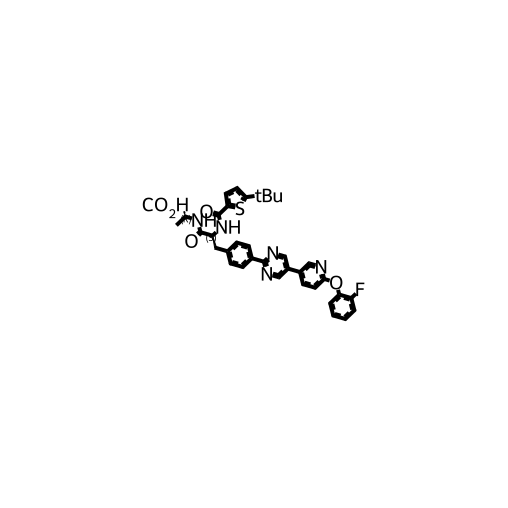 C[C@@H](NC(=O)[C@H](Cc1ccc(-c2ncc(-c3ccc(Oc4ccccc4F)nc3)cn2)cc1)NC(=O)c1ccc(C(C)(C)C)s1)C(=O)O